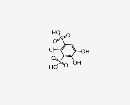 O=S(=O)(O)c1cc(O)c(O)c(S(=O)(=O)O)c1Cl